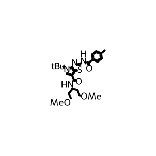 COCCC(CCOC)NC(=O)c1cn(C(C)(C)C)c2nc(NC(=O)c3ccc(C)cc3)sc12